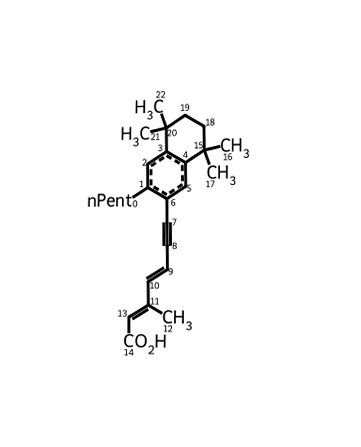 CCCCCc1cc2c(cc1C#C/C=C/C(C)=C/C(=O)O)C(C)(C)CCC2(C)C